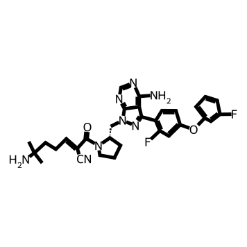 CC(C)(N)CC/C=C(\C#N)C(=O)N1CCC[C@H]1Cn1nc(-c2ccc(Oc3cccc(F)c3)cc2F)c2c(N)ncnc21